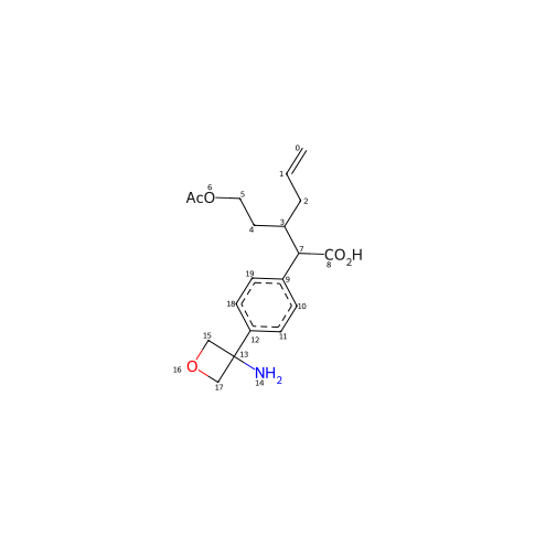 C=CCC(CCOC(C)=O)C(C(=O)O)c1ccc(C2(N)COC2)cc1